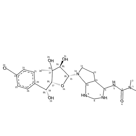 CN(C)C(=O)NC1NCNC2C1CCN2[C@@H]1O[C@H]([C@H](O)c2ccc(Cl)cc2)[C@@](C)(O)[C@H]1O